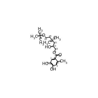 Cc1cc(O)c(O)cc1C(=O)OCC(O)C[N+](C)(C)CCOC(C)(C)C